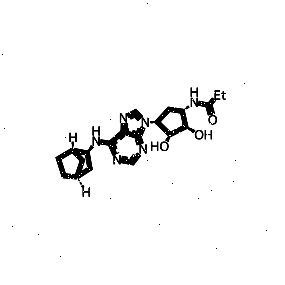 CCC(=O)N[C@H]1C[C@@H](n2cnc3c(N[C@H]4C[C@H]5CC[C@@H]4C5)ncnc32)[C@H](O)[C@@H]1O